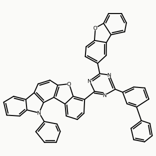 c1ccc(-c2cccc(-c3nc(-c4ccc5oc6ccccc6c5c4)nc(-c4cccc5c4oc4ccc6c7ccccc7n(-c7ccccc7)c6c45)n3)c2)cc1